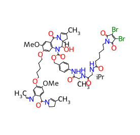 C/C=N\c1cc(OCCCCCOc2cc3c(cc2OC)C(=O)N2C=C(C)C[C@@H]2[C@@H](O)N3C(=O)OCc2ccc(NC(=O)[C@@H](C)NC(=O)[C@H](NC(=O)CCCCCN3C(=O)C(Br)=C(Br)C3=O)C(C)C)cc2)c(OC)cc1C(=O)N1C=C(C)CC1